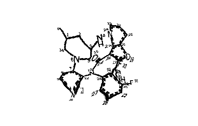 CC1CC(N)CN(c2ccncc2N(C(=O)c2c(N)oc3cccnc23)c2cccc(F)c2F)C1